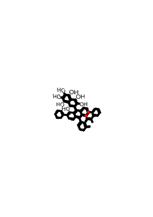 CC1=C(c2ccc3ccccc3c2C)C(c2c3ccccc3c(-c3c(O)c(O)c4c(O)c(O)c(O)c(O)c4c3O)c3cc(C4=CC=CCC4)ccc23)=CCC1